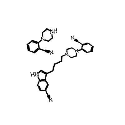 N#Cc1ccc2[nH]cc(CCCCN3CCN(c4ccccc4C#N)CC3)c2c1.N#Cc1ccccc1N1CCNCC1